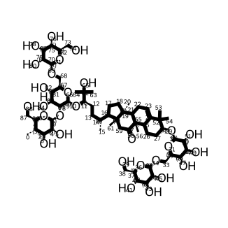 C[C@H]1[C@H](O)[C@@H](O)[C@H](O[C@H]2[C@H](O[C@H](CC[C@@H](C)C3CC[C@@]4(C)C5CC=C6C(CC[C@H](O[C@@H]7O[C@H](CO[C@@H]8O[C@H](CO)[C@@H](O)[C@H](O)[C@H]8O)[C@@H](O)[C@H](O)[C@H]7O)C6(C)C)[C@]5(C)C(=O)C[C@]34C)C(C)(C)O)O[C@H](CO[C@@H]3O[C@H](CO)[C@@H](O)[C@H](O)[C@H]3O)[C@@H](O)[C@@H]2O)O[C@@H]1CO